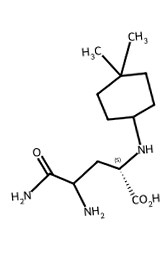 CC1(C)CCC(N[C@@H](CC(N)C(N)=O)C(=O)O)CC1